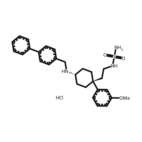 COc1cccc([C@]2(CCNS(N)(=O)=O)CC[C@H](NCc3ccc(-c4ccccc4)cc3)CC2)c1.Cl